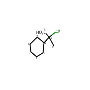 CC(Cl)(C(=O)O)C1CCCCC1